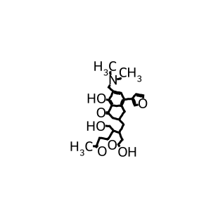 CCN(CC)Cc1cc(-c2ccoc2)c2c(c1O)C(=O)CC(CC(CCO)C(CO)C(=O)CC(C)=O)C2